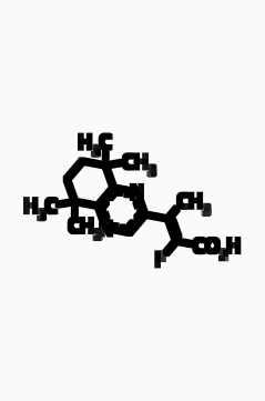 C/C(=C(/F)C(=O)O)c1cnc2c(n1)C(C)(C)CCC2(C)C